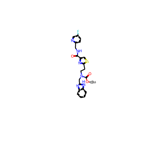 CC(C)(C)OC(=O)N(CCc1nc(C(=O)NCc2ccc(F)cn2)cs1)Cc1nc2ccccc2[nH]1